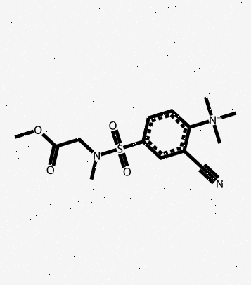 COC(=O)CN(C)S(=O)(=O)c1ccc([N+](C)(C)C)c(C#N)c1